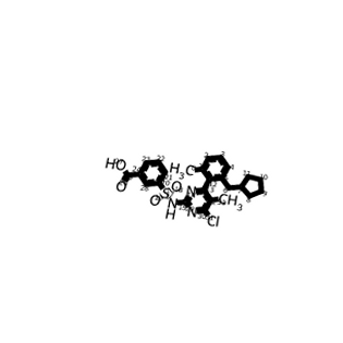 Cc1cccc(CC2CCCC2)c1-c1nc(NS(=O)(=O)c2cccc(C(=O)O)c2)nc(Cl)c1C